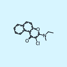 CCN(C)c1oc2ccc3ccccc3c2c(=O)c1Cl